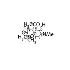 CC(=O)O.CCN1CC2(CCC(NC)CC2)OC(C)(C)C1=O